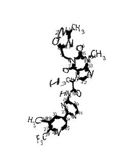 Cc1noc(Cn2c(=O)c3c(ncn3C(C)C(=O)Nc3ccnc(-c4cnc(C(F)(F)F)c(C)c4)n3)n(C)c2=O)n1